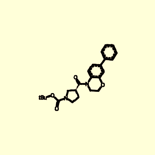 CC(C)(C)OC(=O)N1CC[C@@H](C(=O)N2CCOc3cc(-c4ccccc4)ccc32)C1